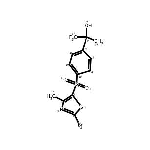 Cc1nc(Br)sc1S(=O)(=O)c1ccc(C(C)(O)C(F)(F)F)cc1